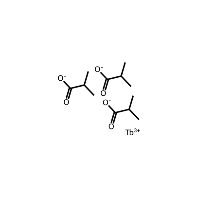 CC(C)C(=O)[O-].CC(C)C(=O)[O-].CC(C)C(=O)[O-].[Tb+3]